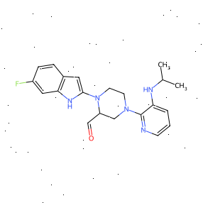 CC(C)Nc1cccnc1N1CCN(c2cc3ccc(F)cc3[nH]2)C(C=O)C1